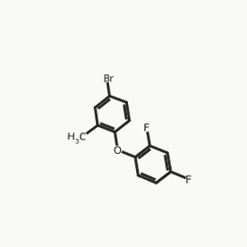 Cc1cc(Br)ccc1Oc1ccc(F)cc1F